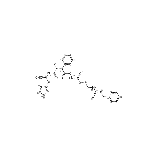 CC(C(=O)NC([C]=O)Cc1c[nH]cn1)N(C(=O)CNC(=O)CCCNC(=O)OCc1ccccc1)c1ccccc1